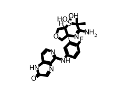 CC1(C)C(N)=N[C@@]2(c3cc(Nc4nccc5[nH]c(=O)cnc45)ccc3F)COC[C@H]2S1(O)O